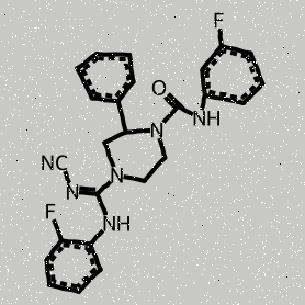 N#C/N=C(/Nc1ccccc1F)N1CCN(C(=O)Nc2cccc(F)c2)C(c2ccccc2)C1